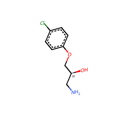 NC[C@H](O)COc1ccc(Cl)cc1